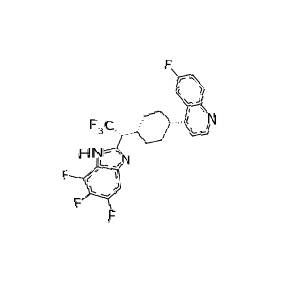 Fc1ccc2nccc([C@H]3CC[C@@H]([C@H](c4nc5cc(F)c(F)c(F)c5[nH]4)C(F)(F)F)CC3)c2c1